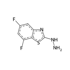 NNc1nc2cc(F)cc(F)c2s1